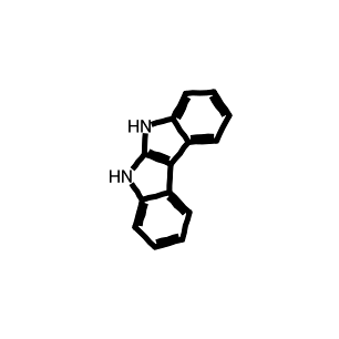 c1ccc2c(c1)[nH]c1[nH]c3ccccc3c12